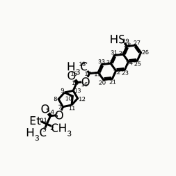 CCC(C)(C)C(=O)OC1CC2CC1CC2C(=O)OC(C)c1ccc2cc3cccc(S)c3cc2c1